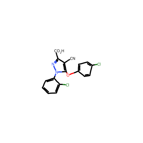 N#Cc1c(C(=O)O)nn(-c2ccccc2Cl)c1Oc1ccc(Cl)cc1